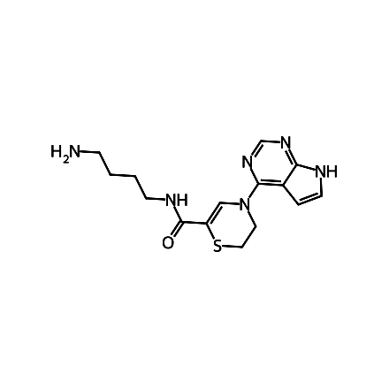 NCCCCNC(=O)C1=CN(c2ncnc3[nH]ccc23)CCS1